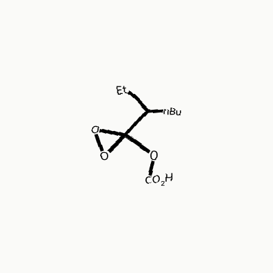 CCCCC(CC)C1(OC(=O)O)OO1